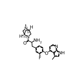 Cc1c[nH]c2nccc(Oc3ccc(CC(N)C(=O)N4C[C@@H]5C[C@H]4CN5C)cc3F)c12